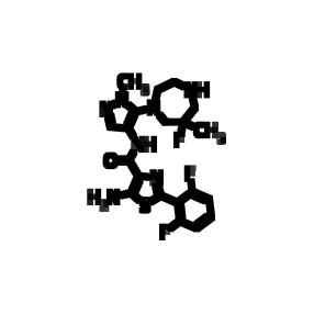 Cn1ncc(NC(=O)c2nc(-c3c(F)cccc3F)sc2N)c1N1CCNCC(C)(F)C1